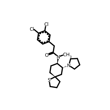 CN(C(=O)Cc1ccc(Cl)c(Cl)c1)[C@@H]1CC[C@]2(CCCS2)C[C@H]1N1CCCC1